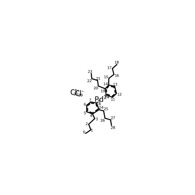 CCCCc1ccc[c]([Pd+2][c]2cccc(CCCC)c2CCCC)c1CCCC.[Cl-].[Cl-]